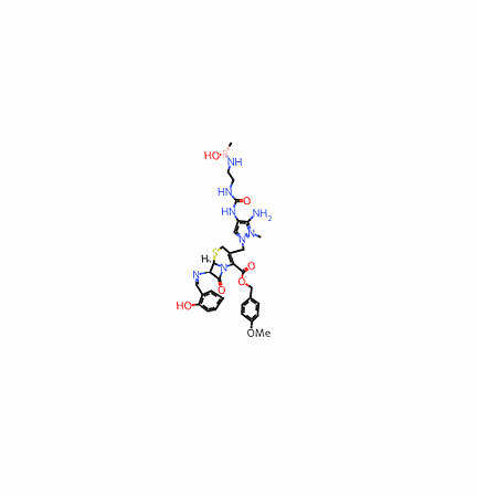 COc1ccc(COC(=O)C2=C(C[n+]3cc(NC(=O)NCCNB(C)O)c(N)n3C)CS[C@@H]3[C@H](/N=C\c4ccccc4O)C(=O)N23)cc1